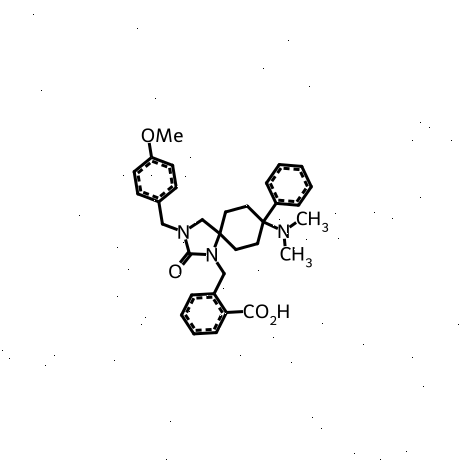 COc1ccc(CN2CC3(CCC(c4ccccc4)(N(C)C)CC3)N(Cc3ccccc3C(=O)O)C2=O)cc1